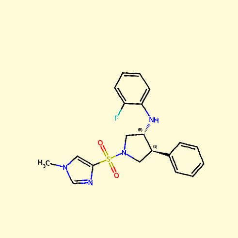 Cn1cnc(S(=O)(=O)N2C[C@H](Nc3ccccc3F)[C@@H](c3ccccc3)C2)c1